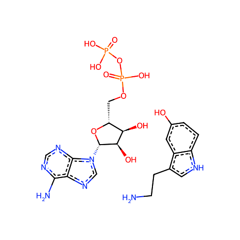 NCCc1c[nH]c2ccc(O)cc12.Nc1ncnc2c1ncn2[C@@H]1O[C@H](COP(=O)(O)OP(=O)(O)O)[C@@H](O)[C@H]1O